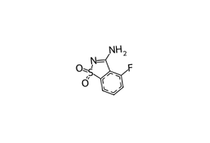 NC1=NS(=O)(=O)c2cccc(F)c21